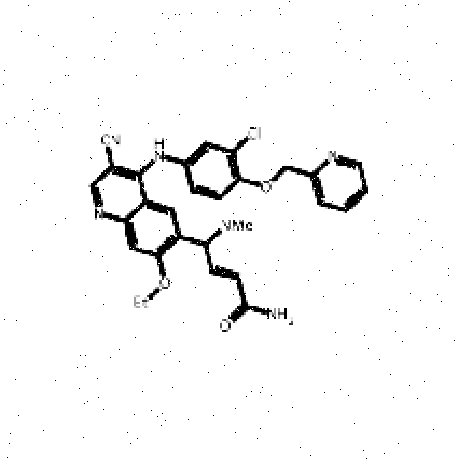 CCOc1cc2ncc(C#N)c(Nc3ccc(OCc4ccccn4)c(Cl)c3)c2cc1C(C=CC(N)=O)NC